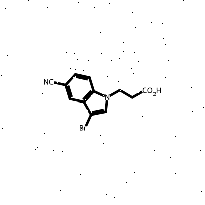 N#Cc1ccc2c(c1)c(Br)cn2CCC(=O)O